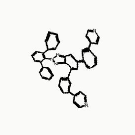 c1ccc(-c2cccc(-c3ccccc3)c2-n2nc3cc(-c4cccc(-c5ccncc5)c4)cc(-c4cccc(-c5ccncc5)c4)c3n2)cc1